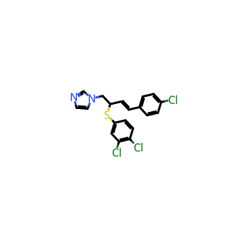 Clc1ccc(C=CC(Cn2ccnc2)Sc2ccc(Cl)c(Cl)c2)cc1